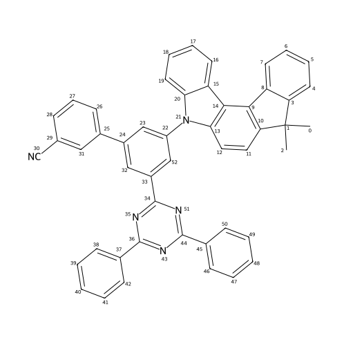 CC1(C)c2ccccc2-c2c1ccc1c2c2ccccc2n1-c1cc(-c2cccc(C#N)c2)cc(-c2nc(-c3ccccc3)nc(-c3ccccc3)n2)c1